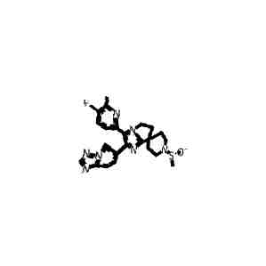 Cc1nc(-c2c(-c3ccc4ncnn4c3)nc3n2CCC32CCN([S+](C)[O-])CC2)ccc1F